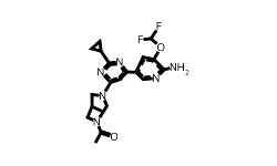 CC(=O)N1CC2CN(c3cc(-c4cnc(N)c(OC(F)F)c4)nc(C4CC4)n3)CC21